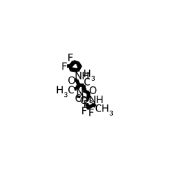 Cc1c(C(=O)Nc2ccc(F)c(F)c2)c(C)n(C)c1C(=O)C(=O)NC(C)C(F)(F)F